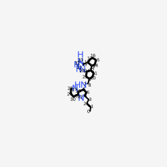 CC=CCc1cc(NCc2ccc(-c3ccccc3-c3nnn[nH]3)cc2)c2ncccc2n1